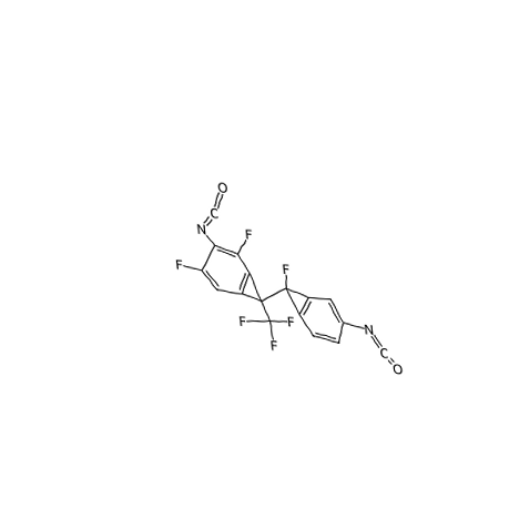 O=C=Nc1ccc2c(c1)C2(F)C1(C(F)(F)F)c2cc(F)c(N=C=O)c(F)c21